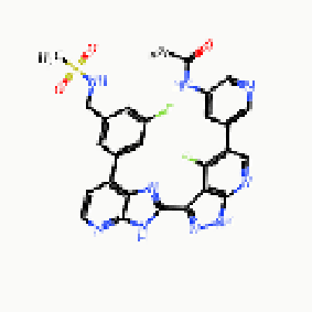 CCCC(=O)Nc1cncc(-c2cnc3[nH]nc(-c4nc5c(-c6cc(F)cc(CNS(C)(=O)=O)c6)ccnc5[nH]4)c3c2F)c1